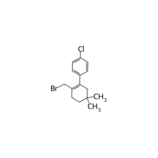 CC1(C)CCC(CBr)=C(c2ccc(Cl)cc2)C1